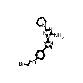 Nc1nc(N2CCCCC2)nn1-c1nnc(-c2ccc(OCCBr)cc2)s1